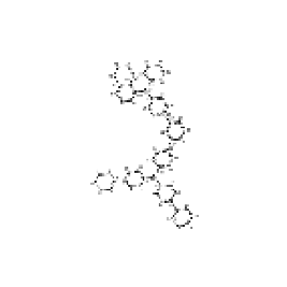 C1=CC(c2ccc(N(c3ccc(-c4ccccc4)cc3)c3ccc(-c4cccc(-c5ccc(N(c6ccccc6)c6cccc7c6C=CCC7)cc5)c4)cc3)cc2)=CCC1